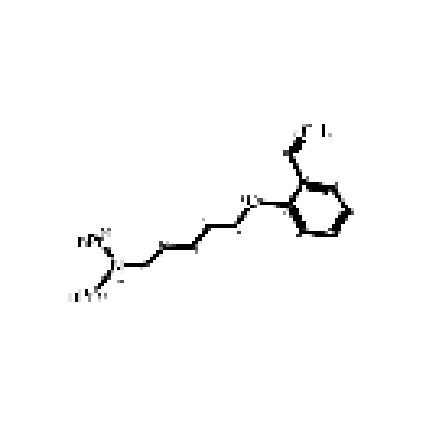 C=Cc1ccccc1OCCCCCN(CCC)CCC